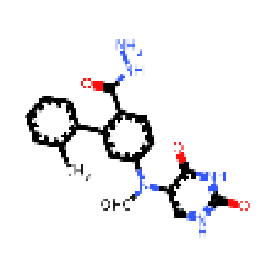 Cc1ccccc1-c1cc(N(C=O)c2c[nH]c(=O)[nH]c2=O)ccc1C(=O)NN